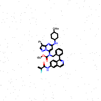 C=C(F)C(=O)Nc1ccc2c(-c3ccccc3CN(C(=O)OC(C)(C)C)c3cc(NC4CCC(OC)CC4)nc4c(C(C)C)cnn34)nccc2c1